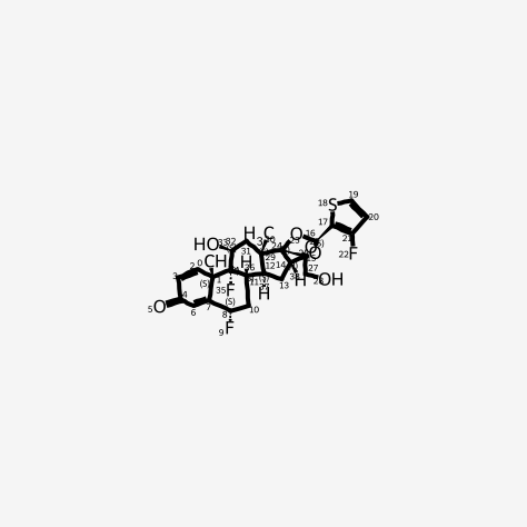 C[C@]12C=CC(=O)C=C1[C@@H](F)C[C@H]1[C@@H]3C[C@H]4O[C@H](c5sccc5F)O[C@@]4(C(=O)CO)[C@@]3(C)C[C@H](O)[C@@]12F